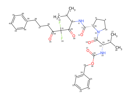 CC(C)C(NC(=O)[C@@H]1CCCN1C(=O)[C@@H](NC(=O)OCc1ccccc1)C(C)C)C(=O)C(F)(F)C(=O)CCCc1ccccc1